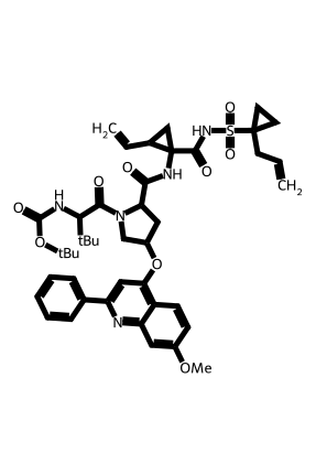 C=CCC1(S(=O)(=O)NC(=O)C2(NC(=O)C3CC(Oc4cc(-c5ccccc5)nc5cc(OC)ccc45)CN3C(=O)C(NC(=O)OC(C)(C)C)C(C)(C)C)CC2C=C)CC1